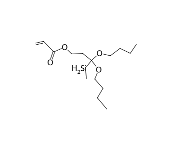 C=CC(=O)OCCC(OCCCC)(OCCCC)[SiH2]C